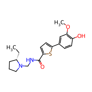 CC[C@H]1CCCN1CNC(=O)c1ccc(-c2ccc(O)c(OC)c2)s1